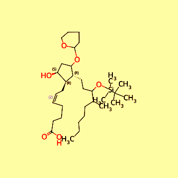 CCCCCC(C)C(CC[C@H]1C(OC2CCCCO2)C[C@H](O)[C@@H]1C/C=C\CCCC(=O)O)O[Si](C)(C)C(C)(C)C